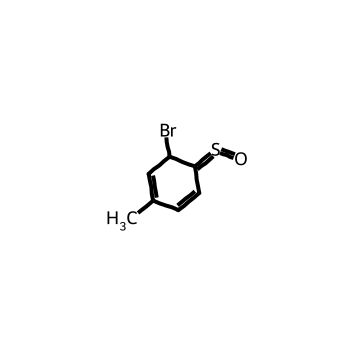 CC1=CC(Br)C(=S=O)C=C1